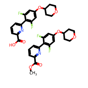 COC(=O)c1cccc(-c2c(F)cc(OC3CCOCC3)cc2F)n1.O=C(O)c1cccc(-c2c(F)cc(OC3CCOCC3)cc2F)n1